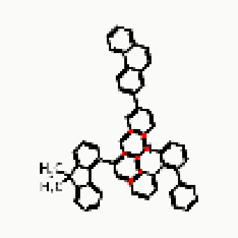 CC1(C)c2ccccc2-c2c(-c3cccc(N(c4ccc(-c5ccc6c(ccc7ccccc76)c5)cc4)c4cccc(-c5ccccc5)c4-c4ccccc4-c4ccccc4)c3)cccc21